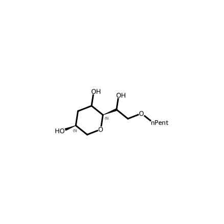 CCCCCOCC(O)[C@H]1OC[C@@H](O)CC1O